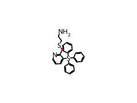 NCCSCc1ncccc1S(c1ccccc1)(c1ccccc1)c1ccccc1